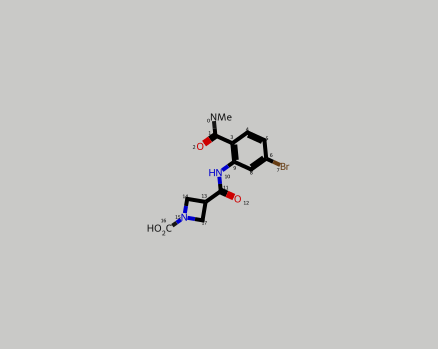 CNC(=O)c1ccc(Br)cc1NC(=O)C1CN(C(=O)O)C1